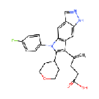 C=C(CCC(=O)O)c1c(C2CCOCC2)n(-c2ccc(F)cc2)c2cc3cn[nH]c3cc12